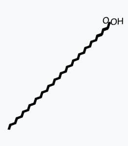 CCCCCCCCCCCCCCCCCCCCCCCCCCCCC/C=C/C=C/C(=O)O